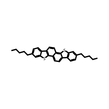 CCCCCc1ccc2c(c1)sc1c2ccc2c1ccc1c3ccc(CCCCC)cc3sc12